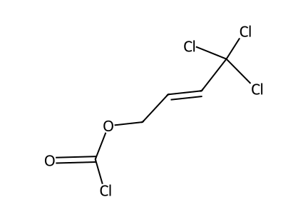 O=C(Cl)OCC=CC(Cl)(Cl)Cl